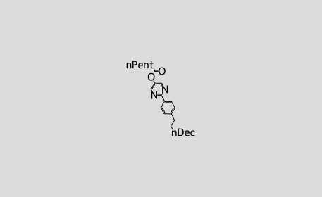 CCCCCCCCCCCCc1ccc(-c2ncc(OC(=O)CCCCC)cn2)cc1